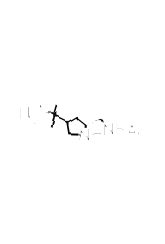 CC(=O)NC[C@@H]1CC(C(C)(C)N)CN1